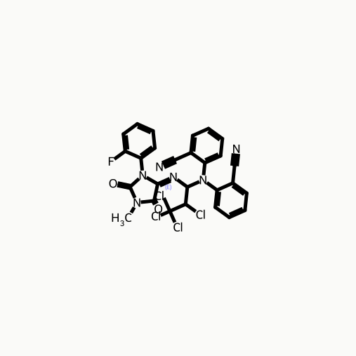 CN1C(=O)/C(=N\C(C(Cl)C(Cl)(Cl)Cl)N(c2ccccc2C#N)c2ccccc2C#N)N(c2ccccc2F)C1=O